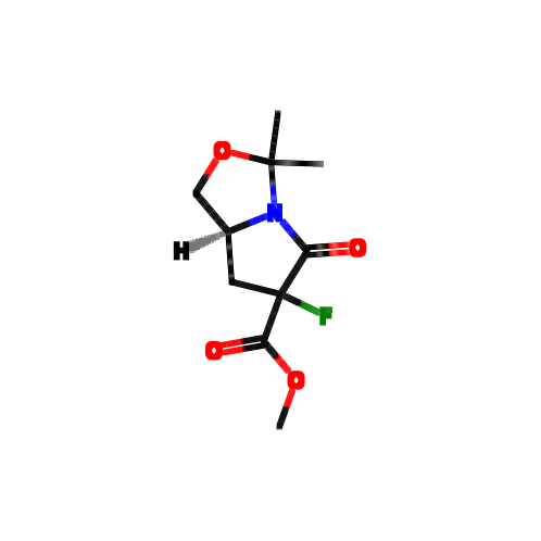 COC(=O)C1(F)C[C@H]2COC(C)(C)N2C1=O